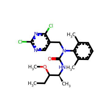 CCC(OC)[C@H](C)NC(=O)N(Cc1cnc(Cl)nc1Cl)c1c(C)cccc1C